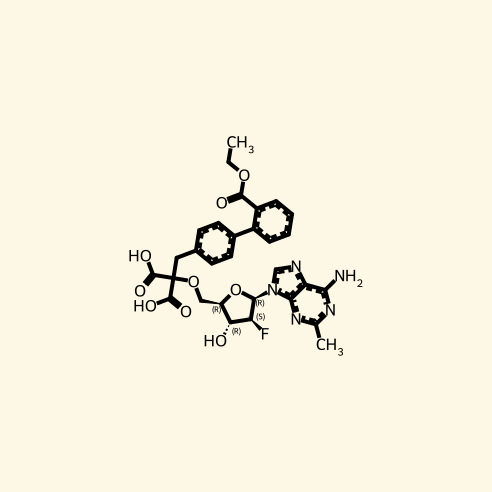 CCOC(=O)c1ccccc1-c1ccc(CC(OC[C@H]2O[C@@H](n3cnc4c(N)nc(C)nc43)[C@@H](F)[C@@H]2O)(C(=O)O)C(=O)O)cc1